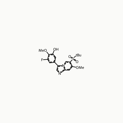 COc1cc2ncc(-c3cc(O)c(OC)c(F)c3)n2cc1S(=O)(=O)C(C)(C)C